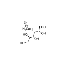 O=C[C@H](O)[C@@H](O)[C@H](O)[C@H](O)CO.[CaH2].[Fe].[Zn]